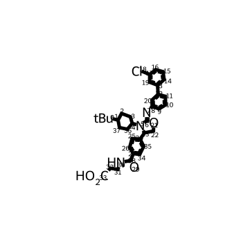 CC(C)(C)C1CCC(N2/C(=N/c3cccc(-c4cccc(Cl)c4)c3)OCC2c2ccc(C(=O)NCCC(=O)O)cc2)CC1